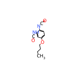 CCCCOc1ccc(N=C=O)cc1.N=C=O